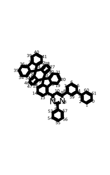 c1ccc(-c2cccc(-c3cc(-c4cccc5c4-c4ccccc4C54c5ccccc5C5(c6ccccc6-c6ccccc65)c5ccccc54)nc(-c4ccccc4)n3)c2)cc1